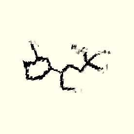 CCN(CCC(C)(C)C)c1cccc(N)c1